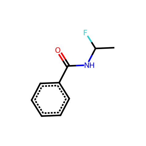 CC(F)NC(=O)c1ccccc1